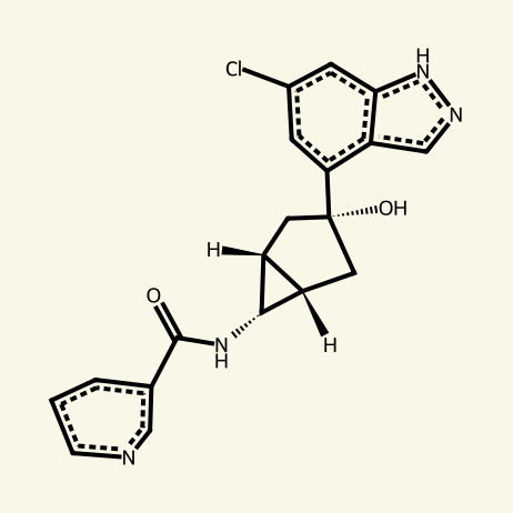 O=C(N[C@@H]1[C@@H]2C[C@@](O)(c3cc(Cl)cc4[nH]ncc34)C[C@@H]21)c1cccnc1